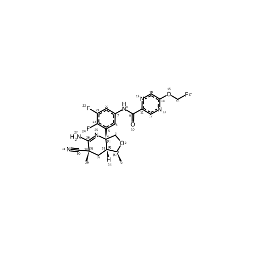 C[C@@H]1OC[C@@]2(c3cc(NC(=O)c4cnc(OCF)cn4)cc(F)c3F)N=C(N)[C@@](C)(C#N)C[C@@H]12